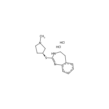 CN1CC[C@H](SC2=Nc3ccccc3CCN2)C1.Cl.Cl